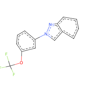 FC(F)(F)Oc1cccc(-n2cc3ccccc3n2)c1